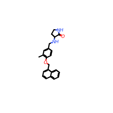 Cc1cc(CNC2CCNC2=O)ccc1OCc1cccc2ccccc12